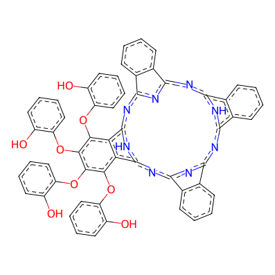 Oc1ccccc1Oc1c(Oc2ccccc2O)c(Oc2ccccc2O)c2c3nc4nc(nc5[nH]c(nc6nc(nc([nH]3)c2c1Oc1ccccc1O)-c1ccccc1-6)c1ccccc51)-c1ccccc1-4